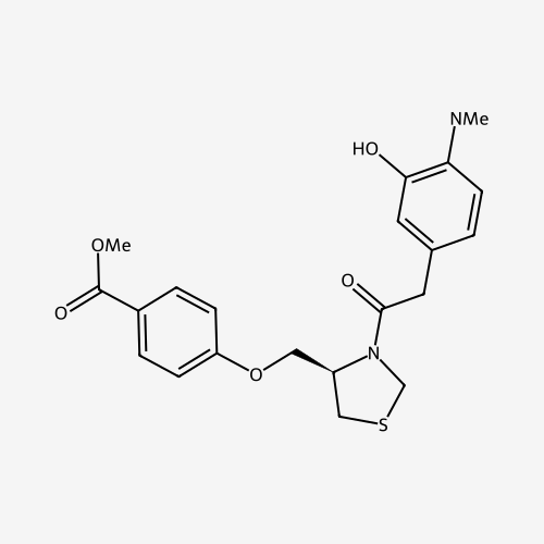 CNc1ccc(CC(=O)N2CSC[C@H]2COc2ccc(C(=O)OC)cc2)cc1O